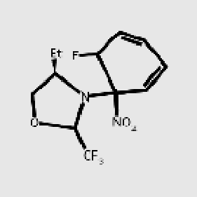 CC[C@@H]1COC(C(F)(F)F)N1C1([N+](=O)[O-])C=CC=CC1F